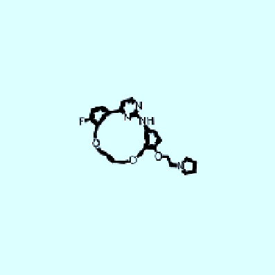 Fc1ccc2cc1COC/C=C/COCc1cc(ccc1OCCN1CCCC1)Nc1nccc-2n1